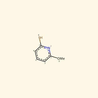 COc1cccc(S)n1